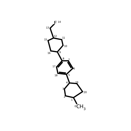 CC1CCC(c2ccc(C3CCC(CF)CC3)cc2)CC1